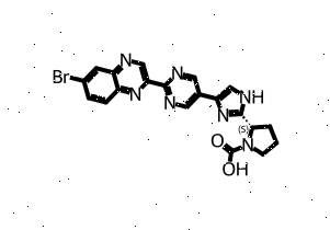 O=C(O)N1CCC[C@H]1c1nc(-c2cnc(-c3cnc4cc(Br)ccc4n3)nc2)c[nH]1